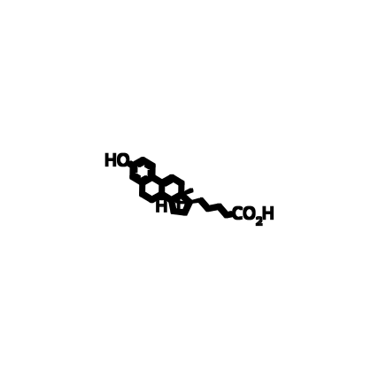 C[C@]12CC=C3c4ccc(O)cc4CC[C@H]3[C@@H]1CC[C@@H]2CCCCC(=O)O